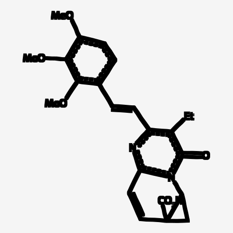 CCc1c(/C=C/c2ccc(OC)c(OC)c2OC)nc2n(c1=O)C1CC1(C(=O)O)C=C2